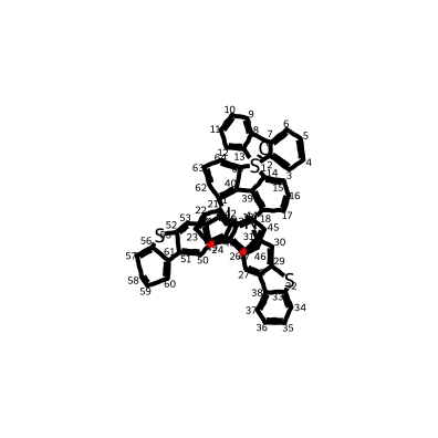 O=S12(c3ccccc3-c3ccccc31)c1cccc(-n3c4ccccc4c4cc5c(cc43)sc3ccccc35)c1-c1c(-n3c4ccccc4c4cc5c(cc43)sc3ccccc35)cccc12